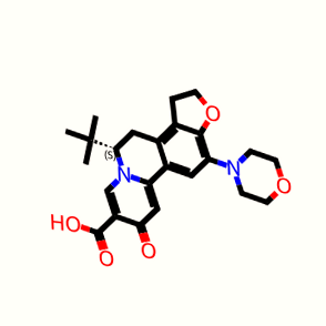 CC(C)(C)[C@@H]1Cc2c(cc(N3CCOCC3)c3c2CCO3)-c2cc(=O)c(C(=O)O)cn21